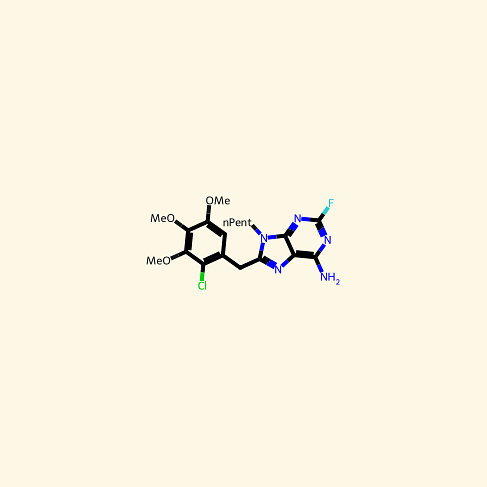 CCCCCn1c(Cc2cc(OC)c(OC)c(OC)c2Cl)nc2c(N)nc(F)nc21